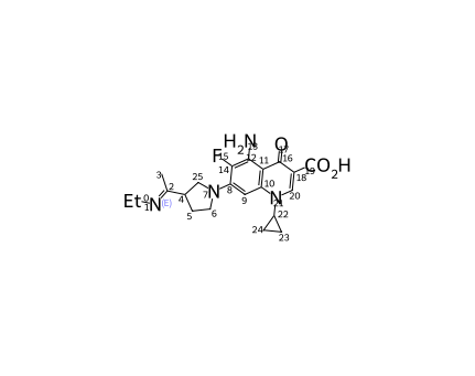 CC/N=C(\C)C1CCN(c2cc3c(c(N)c2F)c(=O)c(C(=O)O)cn3C2CC2)C1